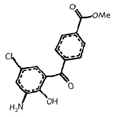 COC(=O)c1ccc(C(=O)c2cc(Cl)cc(N)c2O)cc1